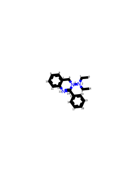 CCN(CC)N1Cc2ccccc2N=C1c1ccccc1